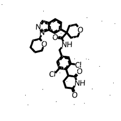 O=C1CCC(c2c(Cl)cc(CNC(=O)C3(c4ccc5cnn(C6CCCCO6)c5c4)CCOCC3)cc2Cl)C(=O)N1